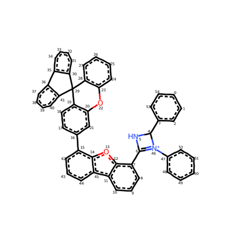 c1ccc(C2NC(c3cccc4c3oc3c(-c5ccc6c(c5)Oc5ccccc5C65c6ccccc6-c6ccccc65)cccc34)=[N+]2c2ccccc2)cc1